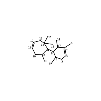 CC1=CCC(C)C(C2C(C)CC=CCC2(C)C)C1C